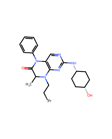 CC(C)CCN1c2nc(N[C@H]3CC[C@@H](O)CC3)ncc2N(c2ccccc2)C(=O)C1C